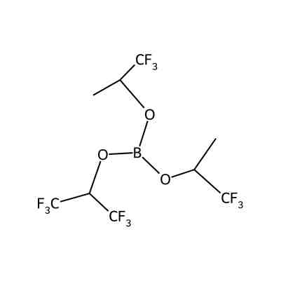 CC(OB(OC(C)C(F)(F)F)OC(C(F)(F)F)C(F)(F)F)C(F)(F)F